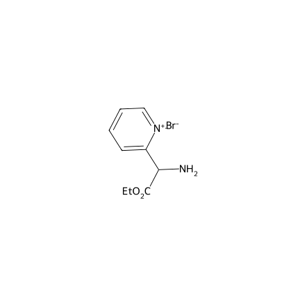 CCOC(=O)C(N)C1=CC=CC=[N+]1.[Br-]